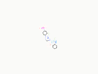 O=C(Nc1ccn(-c2c(F)cc([N+](=O)[O-])cc2F)n1)c1ccccc1C(F)(F)F